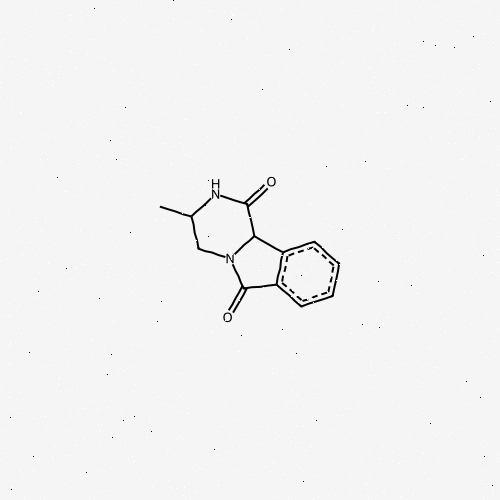 CC1CN2C(=O)c3ccccc3C2C(=O)N1